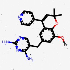 CCOc1cc(Cc2cnc(N)nc2N)cc2c1OC(C)(C)C=C2c1ccncc1